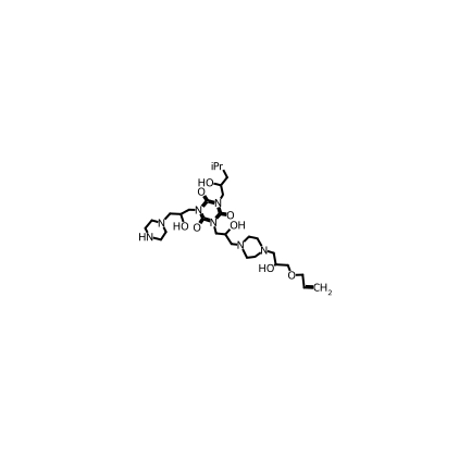 C=CCOCC(O)CN1CCN(CC(O)Cn2c(=O)n(CC(O)CC(C)C)c(=O)n(CC(O)CN3CCNCC3)c2=O)CC1